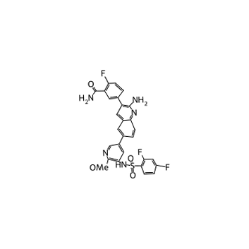 COc1ncc(-c2ccc3nc(N)c(-c4ccc(F)c(C(N)=O)c4)cc3c2)cc1NS(=O)(=O)c1ccc(F)cc1F